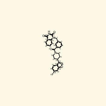 O=C(c1cccc(Cn2c(=O)[nH]c(=O)c3ccccc32)c1)N1CCC(c2noc3cc(F)ccc23)CC1